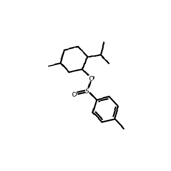 Cc1ccc(S(=O)OC2CC(C)CCC2C(C)C)cc1